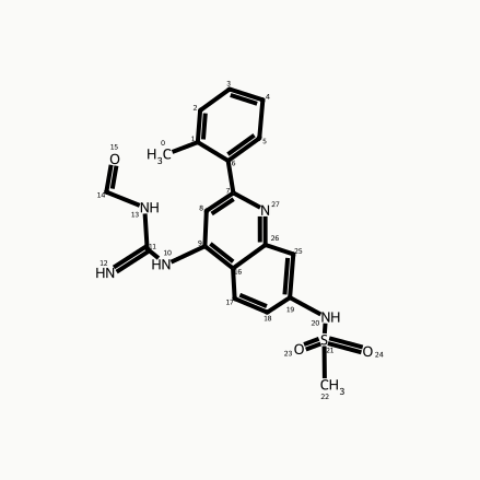 Cc1ccccc1-c1cc(NC(=N)NC=O)c2ccc(NS(C)(=O)=O)cc2n1